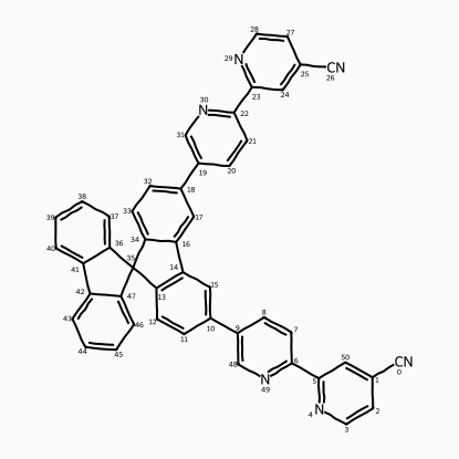 N#Cc1ccnc(-c2ccc(-c3ccc4c(c3)-c3cc(-c5ccc(-c6cc(C#N)ccn6)nc5)ccc3C43c4ccccc4-c4ccccc43)cn2)c1